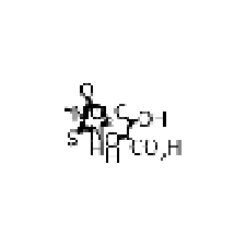 Cn1c(=O)cc[nH]c1=S.O=C(O)C(O)C(O)C(=O)O